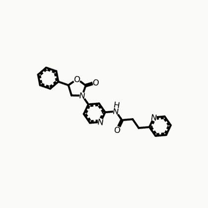 O=C(CCc1ccccn1)Nc1cc(N2CC(c3ccccc3)OC2=O)ccn1